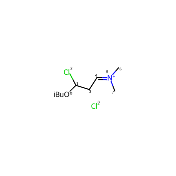 CC(C)COC(Cl)CC=[N+](C)C.[Cl-]